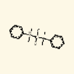 C[PH](C)(c1ccccc1)[Pd]([Cl])([Cl])[PH](C)(C)c1ccccc1